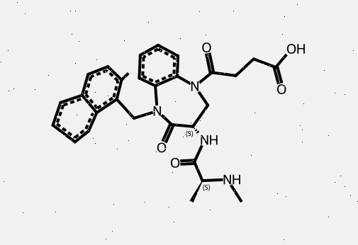 CN[C@@H](C)C(=O)N[C@H]1CN(C(=O)CCC(=O)O)c2ccccc2N(Cc2c(C)ccc3ccccc23)C1=O